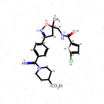 CCOC(=O)C1CCN(C(=N)c2ccc(C3=NOC(C)(CNC(=O)c4ccc(Cl)s4)C3)cc2)CC1